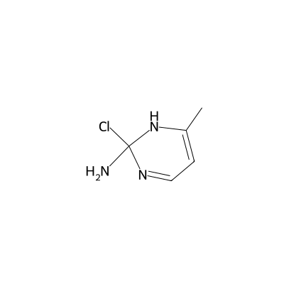 CC1=CC=NC(N)(Cl)N1